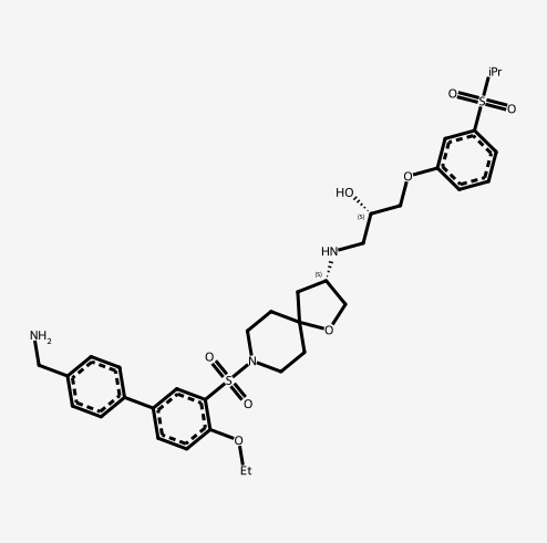 CCOc1ccc(-c2ccc(CN)cc2)cc1S(=O)(=O)N1CCC2(CC1)C[C@H](NC[C@H](O)COc1cccc(S(=O)(=O)C(C)C)c1)CO2